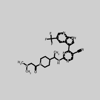 CC(Nc1ncc(C#N)c(-c2c[nH]c3ncc(C(F)(F)F)cc23)n1)C1CCN(C(=O)CN(C)C)CC1